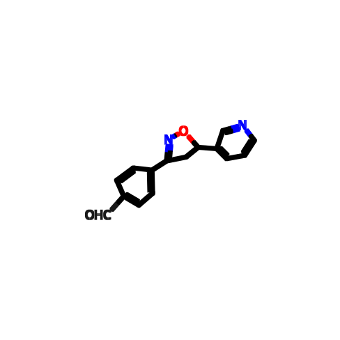 O=Cc1ccc(C2=NOC(c3cccnc3)C2)cc1